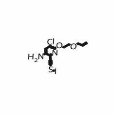 C=CCOCCOc1nc(C#CSI)c(N)cc1Cl